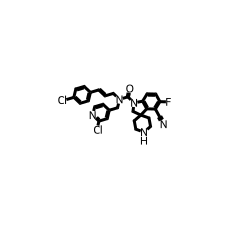 N#Cc1c(F)ccc2c1C1(CCNCC1)CN2C(=O)N(CC=Cc1ccc(Cl)cc1)Cc1ccnc(Cl)c1